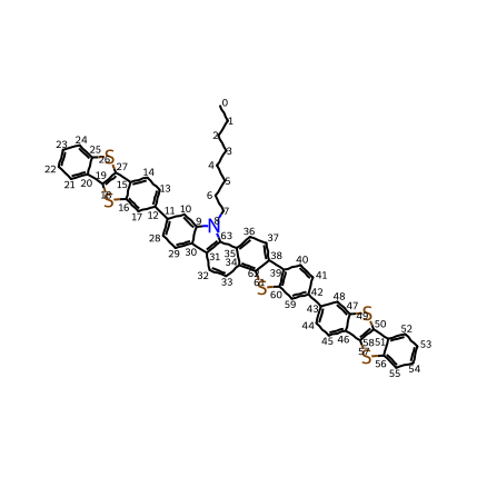 CCCCCCCCn1c2cc(-c3ccc4c(c3)sc3c5ccccc5sc43)ccc2c2ccc3c(ccc4c5ccc(-c6ccc7c(c6)sc6c8ccccc8sc76)cc5sc43)c21